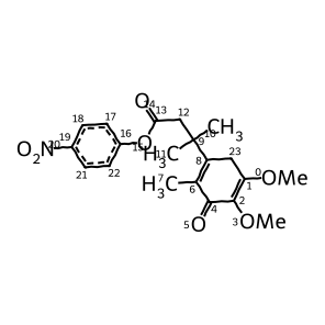 COC1=C(OC)C(=O)C(C)=C(C(C)(C)CC(=O)Oc2ccc([N+](=O)[O-])cc2)C1